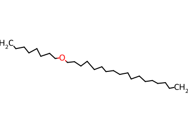 [CH2]CCCCCCCCCCCCCCCCCOCCCCCCC[CH2]